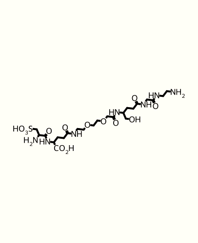 NCCNC(=O)CNC(=O)CCC(CO)NC(=O)COCCOCCNC(=O)CCC(NC(=O)C(N)CS(=O)(=O)O)C(=O)O